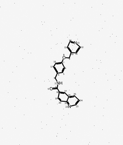 O=C(NCc1ccc(OCc2ccncc2)cc1)c1ccc2ncccc2c1